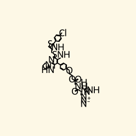 [N-]=[N+]=NC[C@H](NN=N)C(=O)NCC(=O)OCCOc1ccc(-c2c(C=N)c(SCC3=CSC(c4ccc(Cl)cc4)N3)nc(N3CCCC3)c2C=N)cc1